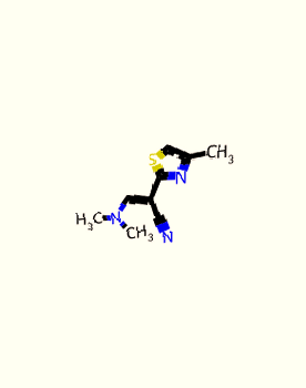 Cc1csc(/C(C#N)=C/N(C)C)n1